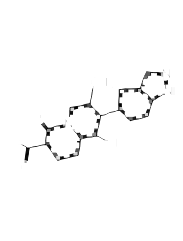 Cc1cn2c(=O)c(C(=O)O)ccc2c(C)c1-c1ccc2[nH]ncc2c1